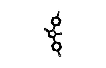 O=C1C=C(c2ccc(Cl)cc2)C(=O)N1c1ccc(F)cc1